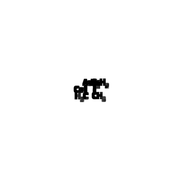 C[AsH2].C[AsH2].[Ca]